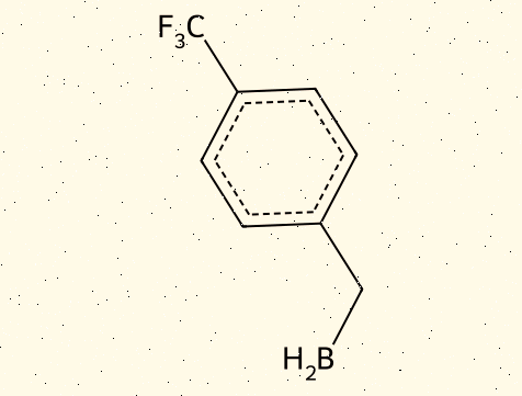 BCc1ccc(C(F)(F)F)cc1